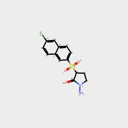 N[N+]1CCC(S(=O)(=O)c2ccc3cc(Cl)ccc3c2)C1=O